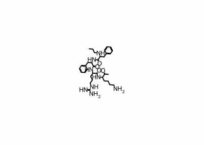 CCCNC(Cc1ccccc1)C(=O)NC(Cc1ccccc1)C(=O)NC(CCCNC(=N)N)C(=O)NC(CCCCN)C(C)=O